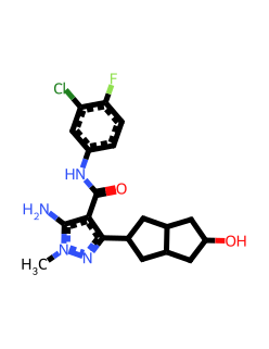 Cn1nc(C2CC3CC(O)CC3C2)c(C(=O)Nc2ccc(F)c(Cl)c2)c1N